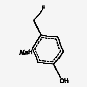 Oc1ccc(CF)cc1.[NaH]